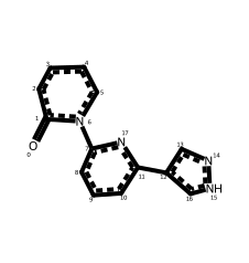 O=c1ccccn1-c1cccc(-c2cn[nH]c2)n1